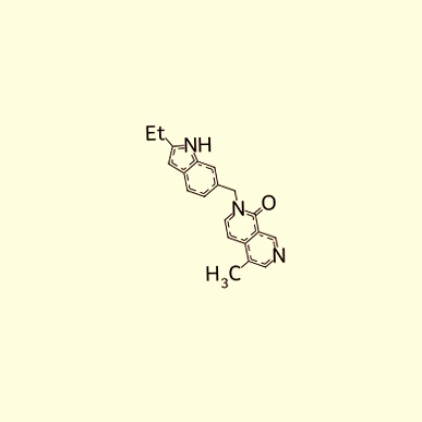 CCc1cc2ccc(Cn3ccc4c(C)cncc4c3=O)cc2[nH]1